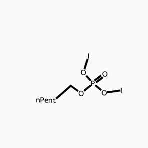 CCCCCCOP(=O)(OI)OI